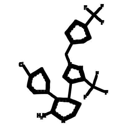 Nc1nccc(-c2cn(Cc3ccc(C(F)(F)F)cc3)nc2C(F)(F)F)c1-c1ccc(Cl)cc1